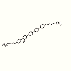 CCCCCCCC1CCC(c2ccc(C3=CCC(c4ccc(C5CCC(CCCCC)CC5)c(F)c4)CC3)cc2)CC1